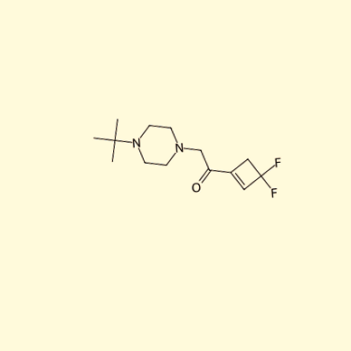 CC(C)(C)N1CCN(CC(=O)C2=CC(F)(F)C2)CC1